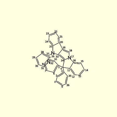 c1ccc(C2(c3ccccc3)c3ccccc3-n3cc4c5ccccc5n(-c5ccccn5)c4c32)cc1